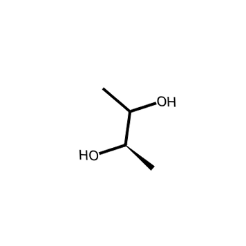 CC(O)[C@@H](C)O